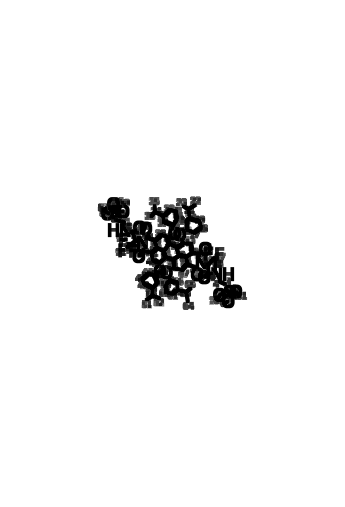 CO[Si](CCNC(=O)C(N1C(=O)c2cc(Oc3cccc(C(C)C)c3)c3c4c(Oc5cccc(C(C)C)c5)cc5c6c(cc(Oc7cccc(C(C)C)c7)c(c7c(Oc8cccc(C(C)C)c8)cc(c2c37)C1=O)c64)C(=O)N(C(C(=O)NCC[Si](OC)(OC)OC)C(F)(F)F)C5=O)C(F)(F)F)(OC)OC